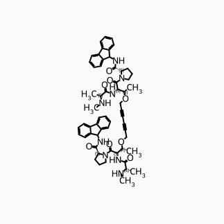 CN[C@@H](C)C(=O)N[C@H](C(=O)N1CCC[C@H]1C(=O)NC1c2ccccc2-c2ccccc21)[C@@H](C)OCC#CC#CCO[C@H](C)[C@H](NC(=O)[C@H](C)NC)C(=O)N1CCC[C@H]1C(=O)NC1c2ccccc2-c2ccccc21